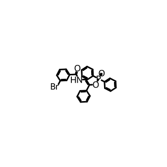 O=C(NC=C(OP(=O)(c1ccccc1)c1ccccc1)c1ccccc1)c1cccc(Br)c1